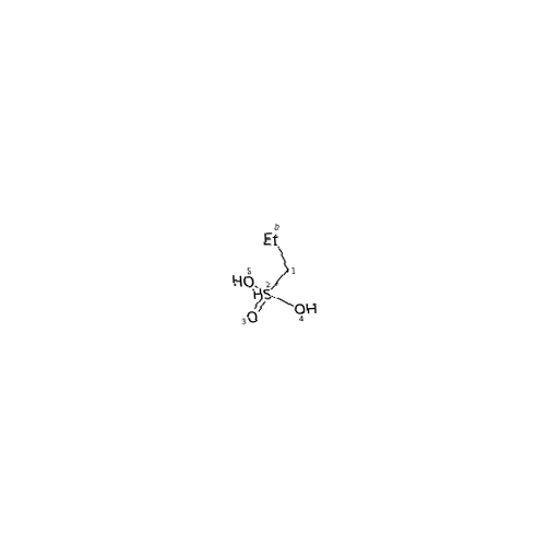 CCC[SH](=O)(O)O